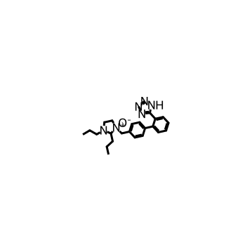 CCCC1N(CCC)CC[N+]1([O-])Cc1ccc(-c2ccccc2-c2nnn[nH]2)cc1